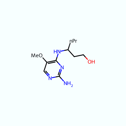 CCCC(CCO)Nc1nc(N)ncc1OC